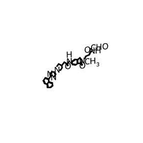 CC(CCC(=O)NC=O)N1Cc2cc(NC(=O)CC3CCN(c4cnc(-c5cccc6ccccc56)nc4)CC3)ccc2C1=O